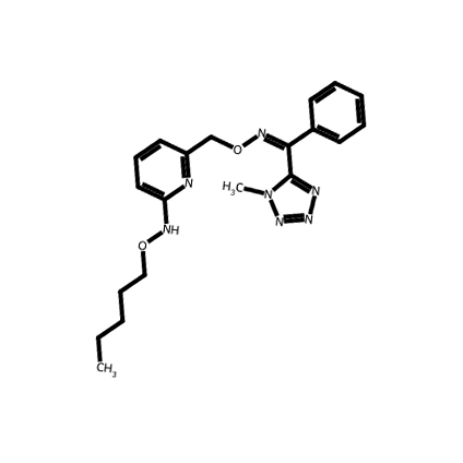 CCCCCONc1cccc(CO/N=C(/c2ccccc2)c2nnnn2C)n1